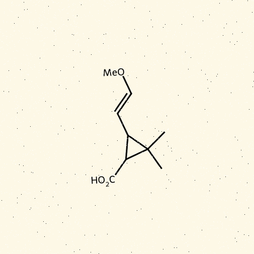 COC=CC1C(C(=O)O)C1(C)C